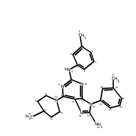 Cc1cccc(Nc2nc(N3CCC(C)CC3)c3nc(N)n(-c4cccc(C)c4)c3n2)c1